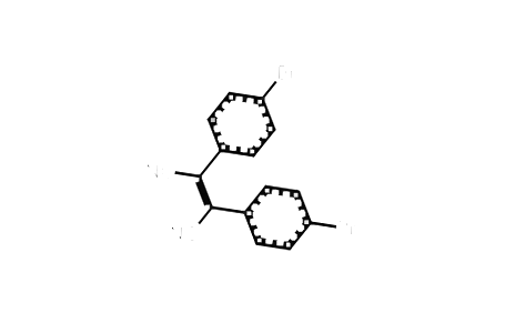 N#CC(=C(C#N)c1ccc(Br)cc1)c1ccc(Br)cc1